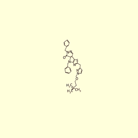 C[Si](C)(C)CCOCn1ccc(Cc2nc3c(s2)c2cnn(Cc4ccccc4)c(=O)c2n3Cc2ccccc2)n1